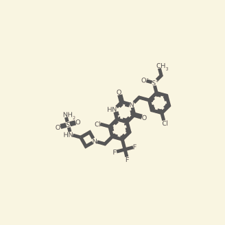 CC[S+]([O-])c1ccc(Cl)cc1Cn1c(=O)[nH]c2c(Cl)c(CN3CC(NS(N)(=O)=O)C3)c(C(F)(F)F)cc2c1=O